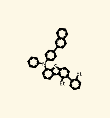 CCc1ccccc1-c1ccc2sc3c(N(c4ccccc4)c4ccc(-c5ccc6ccccc6c5)cc4)cccc3c2c1CC